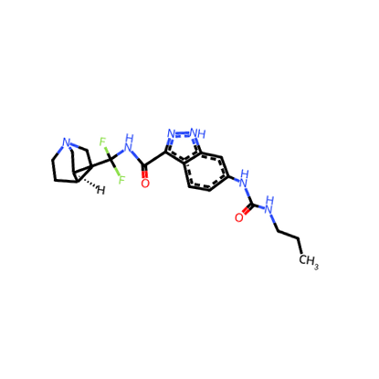 CCCNC(=O)Nc1ccc2c(C(=O)NC(F)(F)[C@@H]3CN4CCC3CC4)n[nH]c2c1